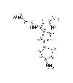 COCCNc1cc(N)nn2cc([C@H]3CC[C@H](N)CC3)nc12